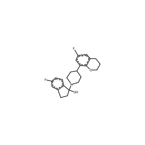 OC1(N2CCC(c3cc(F)cc4c3OCCC4)CC2)CCc2cc(F)ccc21